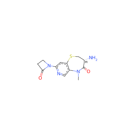 CN1C(=O)[C@@H](N)CSc2cc(N3CCC3=O)ncc21